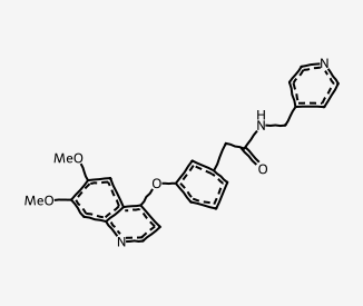 COc1cc2nccc(Oc3cccc(CC(=O)NCc4ccncc4)c3)c2cc1OC